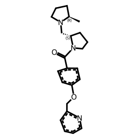 C[C@@H]1CCCN1C[C@@H]1CCCN1C(=O)c1ccc(OCc2ccccn2)cc1